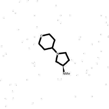 [CH2-][NH2+][C@@H]1CCN(C2CCOCC2)C1